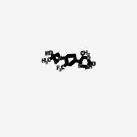 C[C@@H]1OC(=O)NN=C1c1ccc(N2CC(C)(O)C2)c(C(F)(F)F)c1